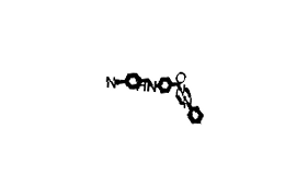 N#Cc1ccc(CNc2ccc(C(=O)N3CCN(c4ccccc4)CC3)cc2)cc1